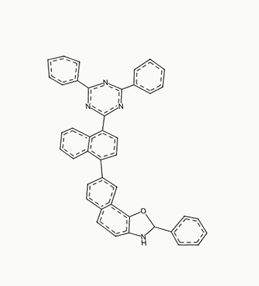 c1ccc(-c2nc(-c3ccccc3)nc(-c3ccc(-c4ccc5ccc6c(c5c4)OC(c4ccccc4)N6)c4ccccc34)n2)cc1